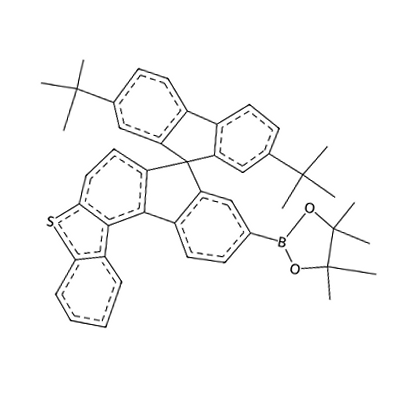 CC(C)(C)c1ccc2c(c1)C1(c3cc(C(C)(C)C)ccc3-2)c2cc(B3OC(C)(C)C(C)(C)O3)ccc2-c2c1ccc1sc3ccccc3c21